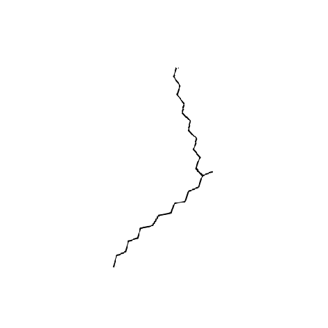 [CH2]CCCCCCCCCCCCC(C)CCCCCCCCCCC[CH2]